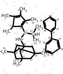 CC1=C(C)C(C)[C]([Zr]([NH]C23CC4(C)CC(C)(CC(C)(C4)C2)C3)[GeH]([CH3])[CH3])=C1C.c1ccc(-c2ccccc2)cc1